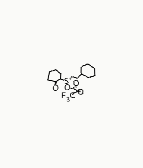 O=C1CCCCC1[S+](CCC1CCCCC1)OS(=O)(=O)C(F)(F)F